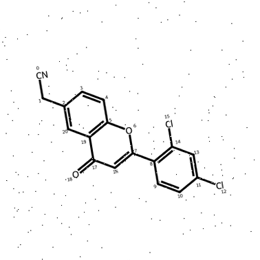 N#CCc1ccc2oc(-c3ccc(Cl)cc3Cl)cc(=O)c2c1